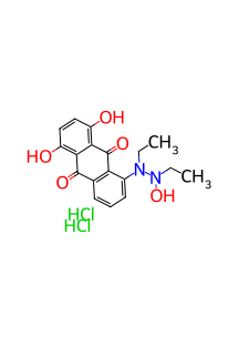 CCN(O)N(CC)c1cccc2c1C(=O)c1c(O)ccc(O)c1C2=O.Cl.Cl